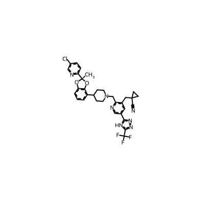 C[C@]1(c2ccc(Cl)cn2)Oc2cccc(C3CCN(Cc4ncc(-c5nnc(C(F)(F)F)[nH]5)cc4CC4(C#N)CC4)CC3)c2O1